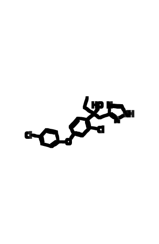 CC[C@](O)(Cc1nc[nH]n1)c1ccc(Oc2ccc(Cl)cc2)cc1Cl